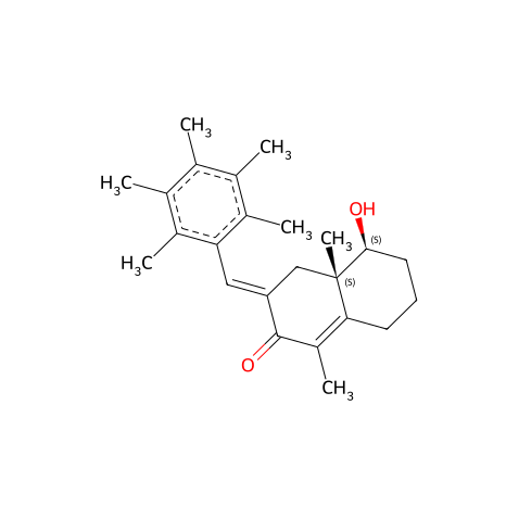 CC1=C2CCC[C@H](O)[C@@]2(C)CC(=Cc2c(C)c(C)c(C)c(C)c2C)C1=O